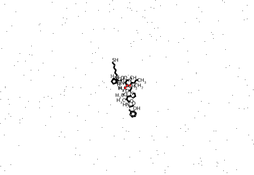 CC[C@H](C)[C@@H]([C@@H](CC(=O)N1CCC[C@H]1[C@H](OC)[C@@H](C)C(=O)N[C@@H](Cc1ccccc1)C(=O)O)OC)N(C)C(=O)[C@@H](NC(=O)[C@@H]1[C@H]2CC[C@@H]([C@H]2C)N1CCCCCCS)C(C)C